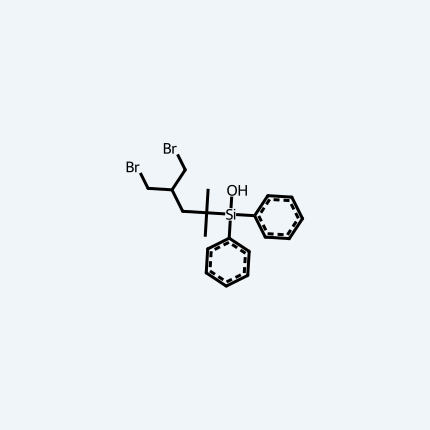 CC(C)(CC(CBr)CBr)[Si](O)(c1ccccc1)c1ccccc1